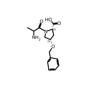 CC(N)C(=O)N1C[C@@H](OCc2ccccc2)C[C@H]1C(=O)O